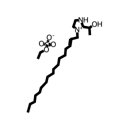 CCCCCCCCCCCCCCC=CC[N+]1=C(C(C)O)NCC1.CCOS(=O)(=O)[O-]